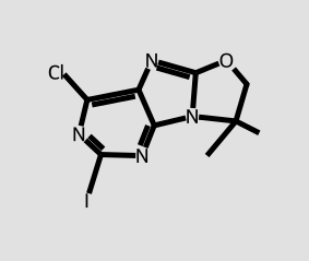 CC1(C)COc2nc3c(Cl)nc(I)nc3n21